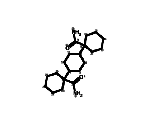 NC(=O)C1(C2CCC(C3(C(N)=O)CCCCC3)CC2)CCCCC1